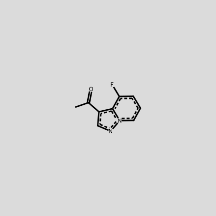 CC(=O)c1cnn2cccc(F)c12